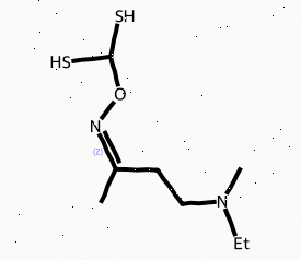 CCN(C)CC/C(C)=N\OC(S)S